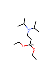 CCO[SiH](CCN(C(C)C)C(C)C)OCC